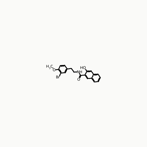 COc1ccc(CCNC(=O)c2cc3ccccc3cc2O)cc1Br